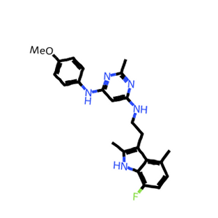 COc1ccc(Nc2cc(NCCc3c(C)[nH]c4c(F)ccc(C)c34)nc(C)n2)cc1